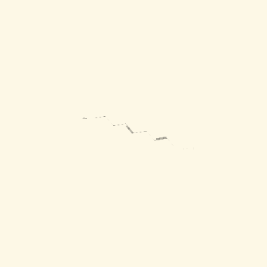 [CH2]CCCCCCCCC=CCC=CCCCCC